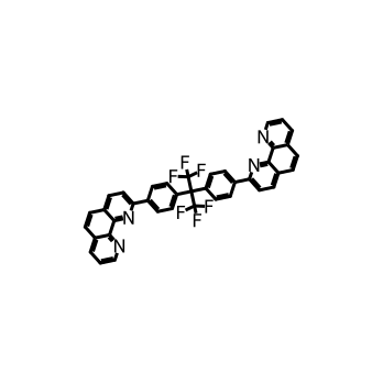 FC(F)(F)C(c1ccc(-c2ccc3ccc4cccnc4c3n2)cc1)(c1ccc(-c2ccc3ccc4cccnc4c3n2)cc1)C(F)(F)F